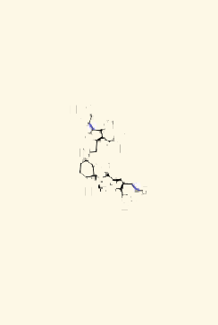 C=C/C=c1/oc(CN[C@@H]2CCC[C@H](N(CC)C(=O)c3cc(/C=C(\C)F)c(C)[nH]3)C2)c(CC)c1=C